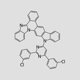 Clc1cccc(-c2cc(-n3c4ccccc4c4cc5c6ccccc6c6nc7ccccc7n6c5cc43)nc(-c3cccc(Cl)c3)n2)c1